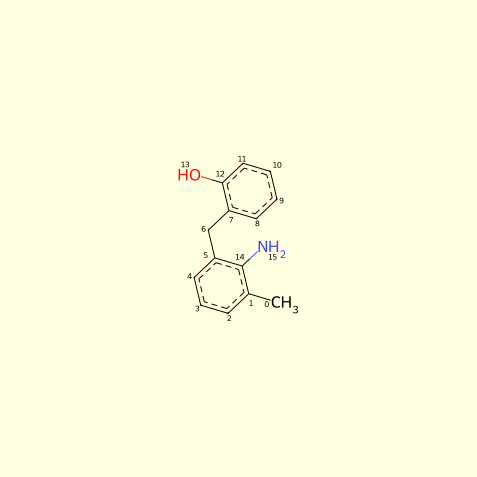 Cc1cccc(Cc2ccccc2O)c1N